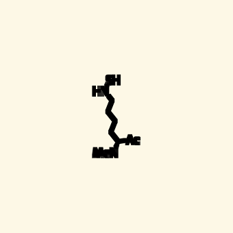 CN[C@@H](CCCCNS)C(C)=O